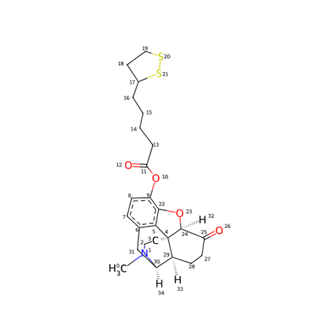 CN1CC[C@]23c4c5ccc(OC(=O)CCCCC6CCSS6)c4O[C@H]2C(=O)CC[C@H]3[C@H]1C5